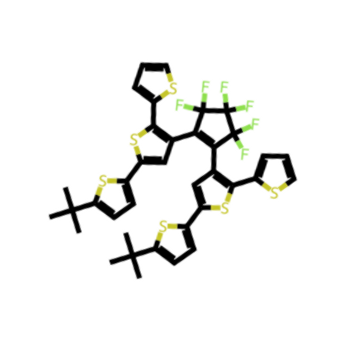 CC(C)(C)c1ccc(-c2cc(C3=C(c4cc(-c5ccc(C(C)(C)C)s5)sc4-c4cccs4)C(F)(F)C(F)(F)C3(F)F)c(-c3cccs3)s2)s1